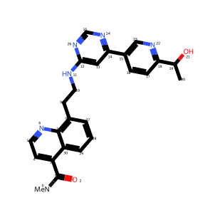 CNC(=O)c1ccnc2c(CCNc3cc(-c4ccc(C(C)O)nc4)ncn3)cccc12